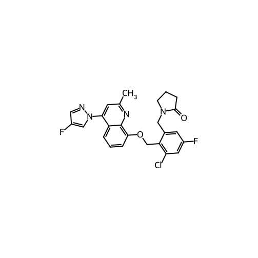 Cc1cc(-n2cc(F)cn2)c2cccc(OCc3c(Cl)cc(F)cc3CN3CCCC3=O)c2n1